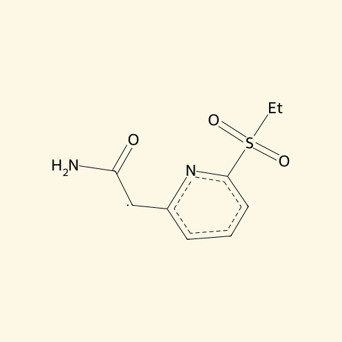 CCS(=O)(=O)c1cccc([CH]C(N)=O)n1